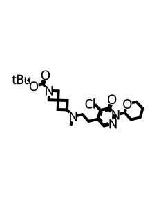 CN(CCc1cnn(C2CCCCO2)c(=O)c1Cl)C1CC2(C1)CN(C(=O)OC(C)(C)C)C2